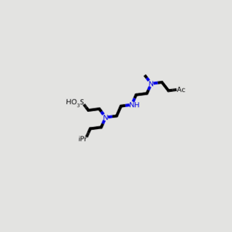 CC(=O)CCN(C)CCNCCN(CCC(C)C)CCS(=O)(=O)O